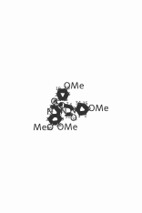 COc1ccc(N2CCN(c3c(S(=O)(=O)c4ccc(OC)cc4)cnc4cc(OC)c(OC)cc34)CC2=O)cc1